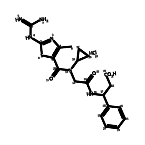 Cc1nc(NC(=N)N)sc1C(=O)N(CC(=O)NC(CC(=O)O)c1ccccc1)C1CC1.Cl